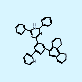 C1=Cc2cc(-c3cc(C4=NC(c5ccccc5)NC(c5ccccc5)=N4)cc(-c4ccccn4)c3)c3c(c2CC1)CCC=C3